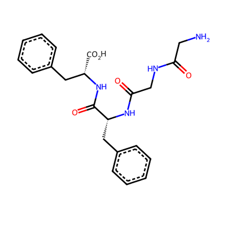 NCC(=O)NCC(=O)N[C@H](Cc1ccccc1)C(=O)N[C@H](Cc1ccccc1)C(=O)O